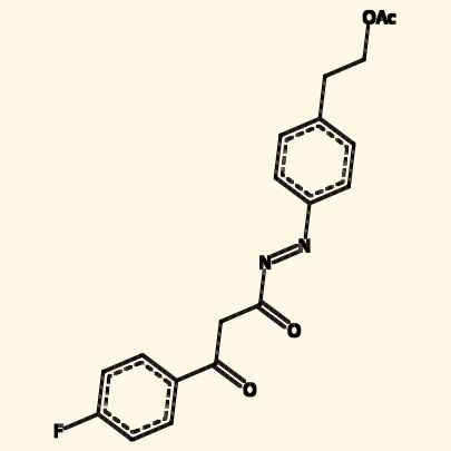 CC(=O)OCCc1ccc(N=NC(=O)CC(=O)c2ccc(F)cc2)cc1